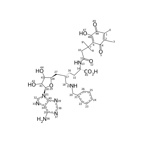 CC1=C(C)C(=O)C(C(C)(C)CC(=O)N[C@@H](CC[C@H](CNCc2ccccc2)C[C@H]2O[C@@H](n3cnc4c(N)ncnc43)C(O)C2O)C(=O)O)=C(O)C1=O